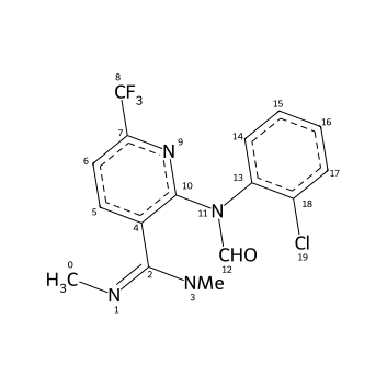 C/N=C(/NC)c1ccc(C(F)(F)F)nc1N(C=O)c1ccccc1Cl